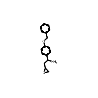 NC(CC1CO1)c1ccc(OCc2ccccc2)cc1